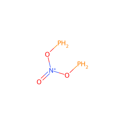 O=[N+](OP)OP